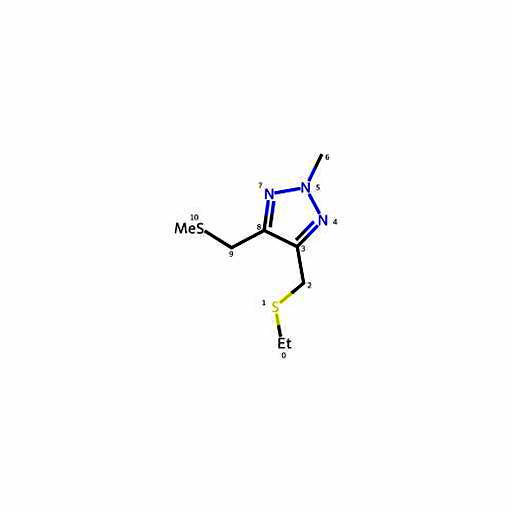 CCSCc1nn(C)nc1CSC